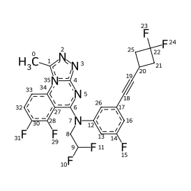 Cc1nnc2nc(N(CC(F)F)c3cc(F)cc(C#CC4CC(F)(F)C4)c3)c3c(F)c(F)ccc3n12